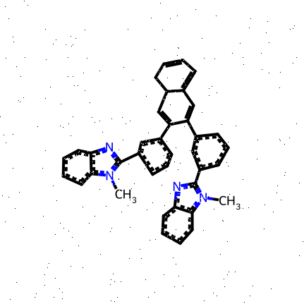 Cn1c(-c2cccc(C3=CC4=CC=CCC4C=C3c3cccc(-c4nc5ccccc5n4C)c3)c2)nc2ccccc21